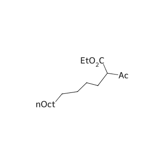 CCCCCCCCCCCCC(C(C)=O)C(=O)OCC